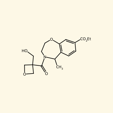 CCOC(=O)c1ccc2c(c1)OCCN(C(=O)C1(CO)COC1)C2C